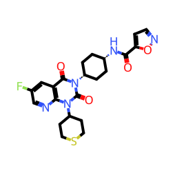 O=C(N[C@H]1CC[C@@H](n2c(=O)c3cc(F)cnc3n(C3CCSCC3)c2=O)CC1)c1ccno1